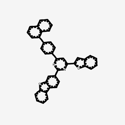 c1ccc2oc(-c3cc(-c4ccc(-c5cccc6ccccc56)cc4)nc(-c4ccc5c(c4)oc4ccccc45)n3)cc2c1